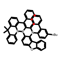 CCCCc1ccc(N2c3cc4ccccc4c4c3B(c3ccc5oc6ccccc6c5c32)N2c3ccccc3C(C)(C)c3cccc-4c32)c(-c2ccccc2)c1